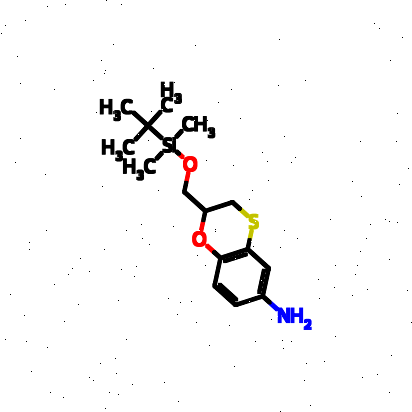 CC(C)(C)[Si](C)(C)OCC1CSc2cc(N)ccc2O1